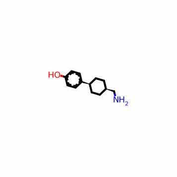 NC[C@H]1CC[C@@H](c2ccc(O)cc2)CC1